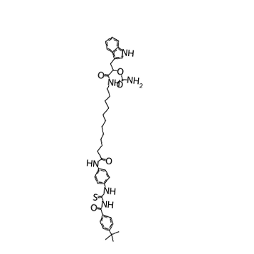 CC(C)(C)c1ccc(C(=O)NC(=S)Nc2ccc(NC(=O)CCCCCCCCCCCNC(=O)C(Cc3c[nH]c4ccccc34)OC(N)=O)cc2)cc1